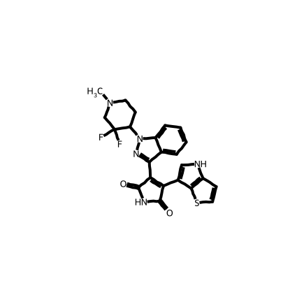 CN1CCC(n2nc(C3=C(c4c[nH]c5ccsc45)C(=O)NC3=O)c3ccccc32)C(F)(F)C1